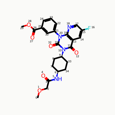 COCC(=O)N[C@H]1CC[C@@H](n2c(=O)c3cc(F)cnc3n(-c3cccc(C(=O)OC)c3)c2=O)CC1